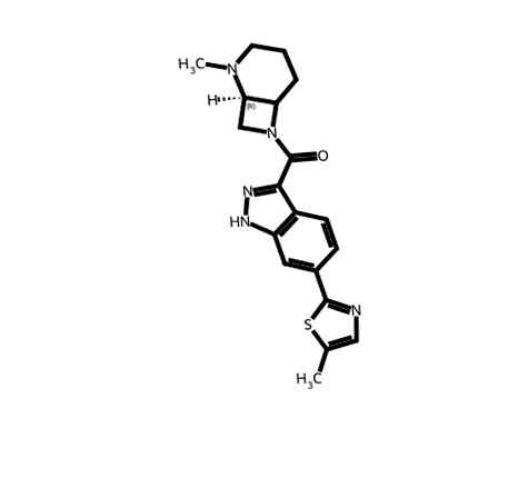 Cc1cnc(-c2ccc3c(C(=O)N4C[C@@H]5C4CCCN5C)n[nH]c3c2)s1